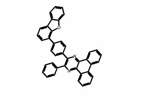 c1ccc(-c2nc3c4ccccc4c4ccccc4c3nc2-c2ccc(-c3cccc4c3oc3ccccc34)cc2)cc1